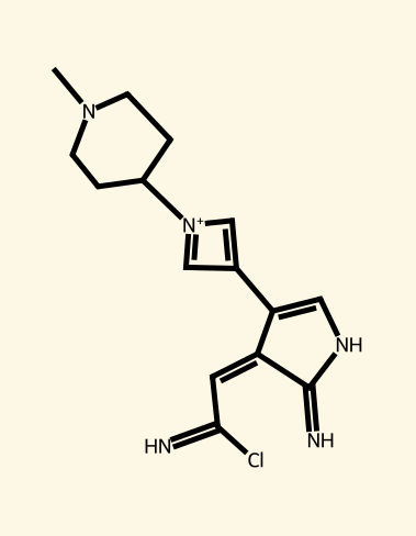 CN1CCC([N+]2=CC(C3=CNC(=N)/C3=C\C(=N)Cl)=C2)CC1